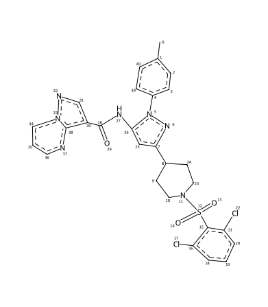 Cc1ccc(-n2nc(C3CCN(S(=O)(=O)c4c(Cl)cccc4Cl)CC3)cc2NC(=O)c2cnn3cccnc23)cc1